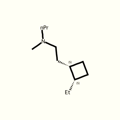 CCCN(C)CC[C@@H]1CC[C@@H]1CC